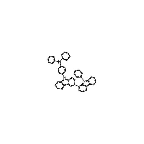 c1ccc(N(c2ccccc2)c2ccc(-n3c4ccccc4c4cc(-c5cccc6c7ccccc7n(-c7ccccc7)c56)ccc43)cc2)cc1